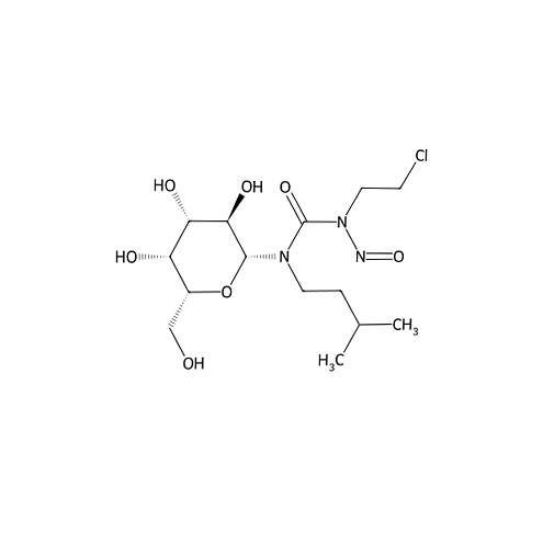 CC(C)CCN(C(=O)N(CCCl)N=O)[C@@H]1O[C@H](CO)[C@H](O)[C@H](O)[C@H]1O